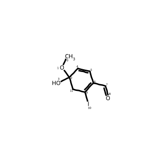 COC1(O)C=CC(C=O)=C(I)C1